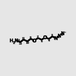 [N-]=[N+]=NCCOCCOCCCCN